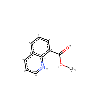 O=C(OC(F)(F)F)c1cccc2cccnc12